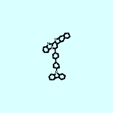 c1ccc2cc3c(cc2c1)sc1c3cc(-c2ccc(-c3ccc(-n4c5ccccc5c5ccccc54)cc3)cc2)n2c3ccccc3nc12